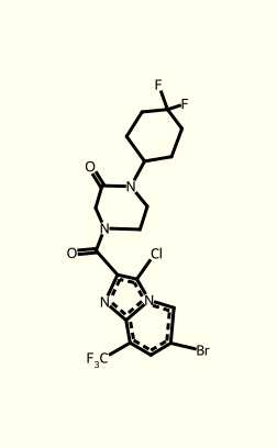 O=C(c1nc2c(C(F)(F)F)cc(Br)cn2c1Cl)N1CCN(C2CCC(F)(F)CC2)C(=O)C1